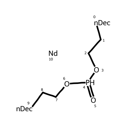 CCCCCCCCCCCCO[PH](=O)OCCCCCCCCCCCC.[Nd]